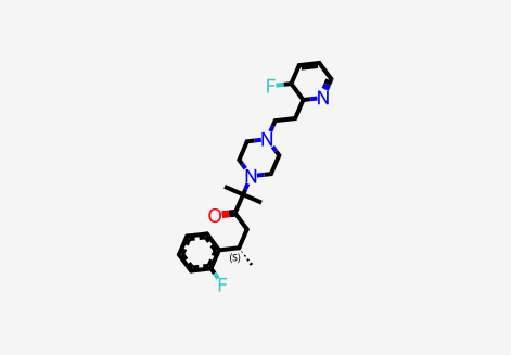 C[C@@H](CC(=O)C(C)(C)N1CCN(CCC2N=CC=CC2F)CC1)c1ccccc1F